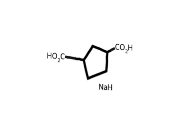 O=C(O)C1CCC(C(=O)O)C1.[NaH]